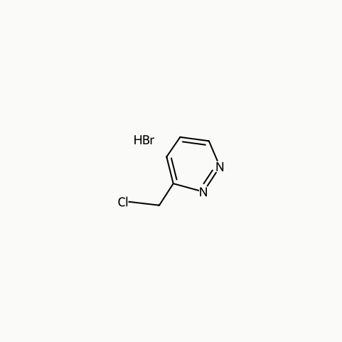 Br.ClCc1cccnn1